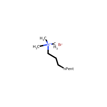 CCCCCCCC[N+](C)(C)C.[Br-]